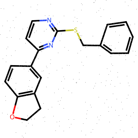 c1ccc(CSc2nccc(-c3ccc4c(c3)CCO4)n2)cc1